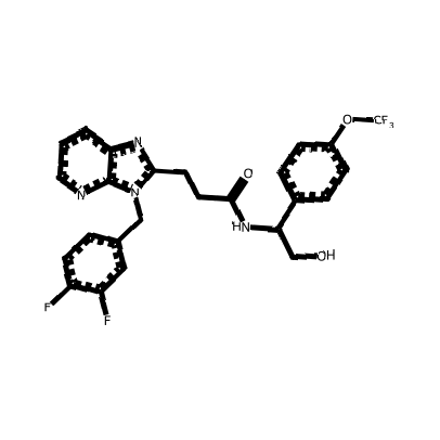 O=C(CCc1nc2cccnc2n1Cc1ccc(F)c(F)c1)NC(CO)c1ccc(OC(F)(F)F)cc1